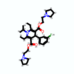 CCC1=C(C(=O)OCCN2CCCC2)C(c2cccc(F)c2)C(C(=O)OCCN2CCCC2)=C(CC)N1C(C)C